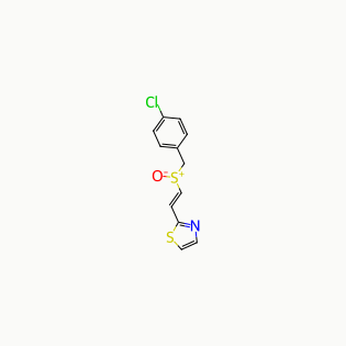 [O-][S+](C=Cc1nccs1)Cc1ccc(Cl)cc1